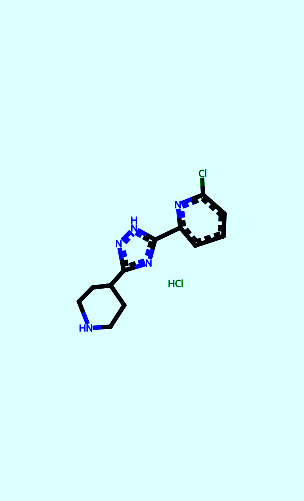 Cl.Clc1cccc(-c2nc(C3CCNCC3)n[nH]2)n1